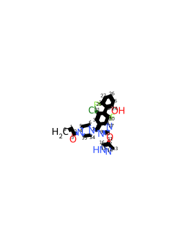 C=CC(=O)N1CCN(c2nc(Oc3cn[nH]c3)nc3c(F)c(-c4c(O)cccc4F)c(Cl)cc23)CC1